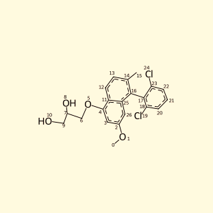 COc1cc(OCC(O)CO)c2ccc(C)c(-c3c(Cl)cccc3Cl)c2c1